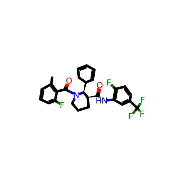 Cc1cccc(F)c1C(=O)N1CCC[C@H](C(=O)Nc2cc(C(F)(F)F)ccc2F)[C@@H]1C1C=CC=CC1